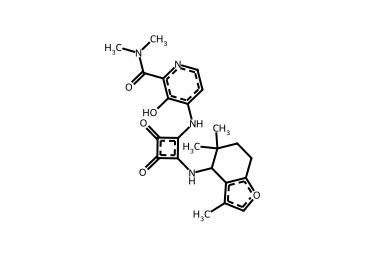 Cc1coc2c1C(Nc1c(Nc3ccnc(C(=O)N(C)C)c3O)c(=O)c1=O)C(C)(C)CC2